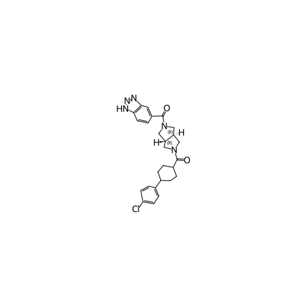 O=C(c1ccc2[nH]nnc2c1)N1C[C@H]2CN(C(=O)C3CCC(c4ccc(Cl)cc4)CC3)C[C@@H]2C1